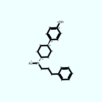 CC(=O)N(CCCc1ccccc1)[C@H]1CC[C@H](c2ccc(O)cc2)CC1